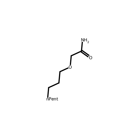 CCCCCCCCOCC(N)=O